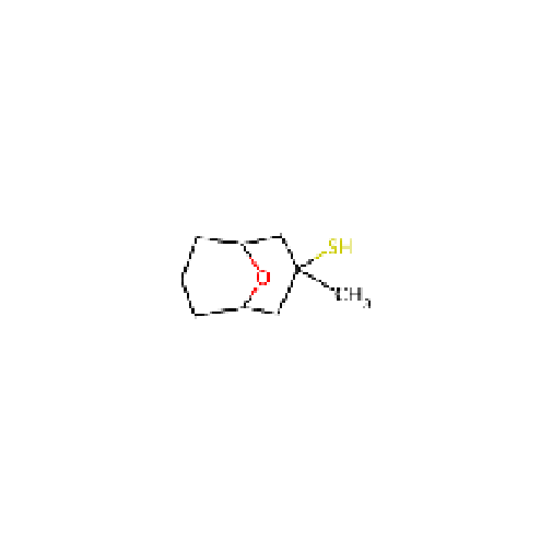 CC1(S)CC2CCCC(C1)O2